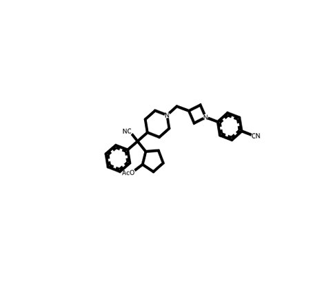 CC(=O)OC1CCCC1C(C#N)(c1ccccc1)C1CCN(CC2CN(c3ccc(C#N)cc3)C2)CC1